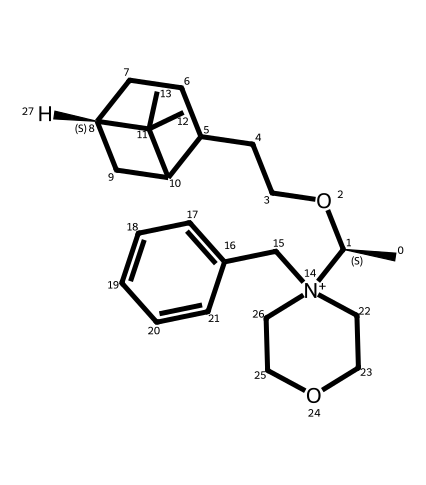 C[C@H](OCCC1CC[C@H]2CC1C2(C)C)[N+]1(Cc2ccccc2)CCOCC1